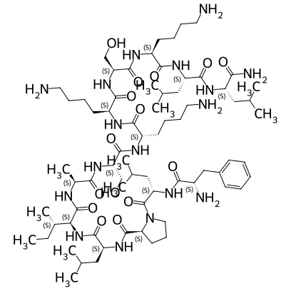 CC[C@H](C)[C@H](NC(=O)[C@H](CC(C)C)NC(=O)[C@@H]1CCCN1C(=O)[C@H](CC(C)C)NC(=O)[C@@H](N)Cc1ccccc1)C(=O)N[C@@H](C)C(=O)N[C@@H](CO)C(=O)N[C@@H](CCCCN)C(=O)N[C@@H](CCCCN)C(=O)N[C@@H](CO)C(=O)N[C@@H](CCCCN)C(=O)N[C@@H](CC(C)C)C(=O)N[C@@H](CC(C)C)C(N)=O